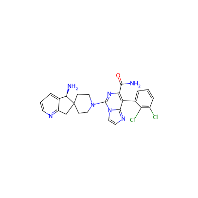 NC(=O)c1nc(N2CCC3(CC2)Cc2ncccc2[C@H]3N)n2ccnc2c1-c1cccc(Cl)c1Cl